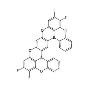 Fc1cc2c3c(c1F)Oc1ccccc1B3c1cc3c(cc1O2)Oc1cc(F)c(F)c2c1B3c1ccccc1O2